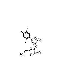 CC[C@H]1O[C@@H](c2cc(C)c(C)cc2C)C[C@H]1OP(OCCC#N)N(C(C)C)C(C)C